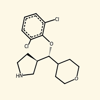 Clc1cccc(Cl)c1O[C@H](C1CCOCC1)[C@@H]1CCNC1